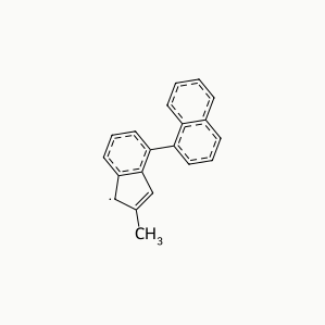 CC1=Cc2c(cccc2-c2cccc3ccccc23)[CH]1